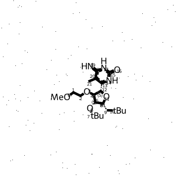 COCCOC1[C@@H](OC(C)(C)C)[C@@H](CC(C)(C)C)O[C@H]1c1[nH]c(=O)[nH]c(=N)c1C